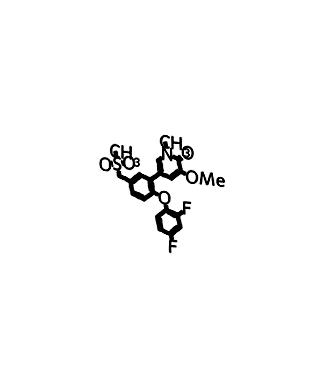 COc1cc(-c2cc(CS(C)(=O)=O)ccc2Oc2ccc(F)cc2F)cn(C)c1=O